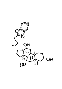 CC(CCc1nc2cnccc2o1)[C@H]1CC[C@H]2[C@@H]3[C@H](O)C[C@@H]4C[C@H](O)CC[C@]4(C)[C@H]3C[C@H](O)[C@]12C